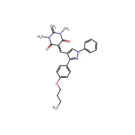 C=c1n(C)c(=O)c(=Cc2cn(-c3ccccc3)nc2-c2ccc(OCCCC)cc2)c(=O)n1C